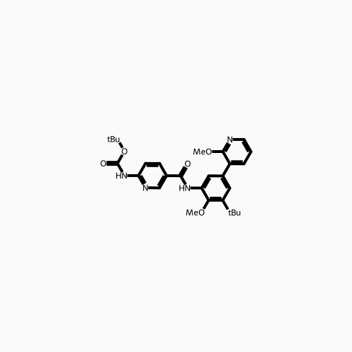 COc1ncccc1-c1cc(NC(=O)c2ccc(NC(=O)OC(C)(C)C)nc2)c(OC)c(C(C)(C)C)c1